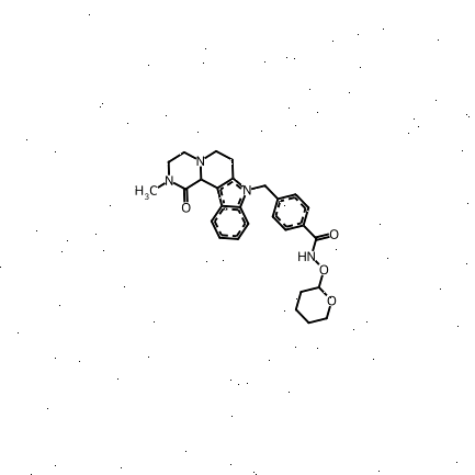 CN1CCN2CCc3c(c4ccccc4n3Cc3ccc(C(=O)NOC4CCCCO4)cc3)C2C1=O